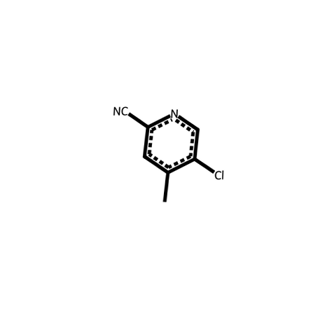 Cc1cc(C#N)ncc1Cl